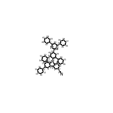 N#Cc1ccc2c(c1)c1cc(-c3ccccc3)ccc1n2-c1c(-c2ccccc2)cc(-c2nc(-c3ccccc3)cc(-c3ccccc3)n2)cc1-c1ccccc1